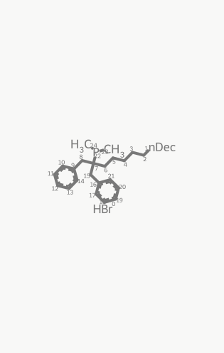 Br.CCCCCCCCCCCCCCCC(Cc1ccccc1)(Cc1ccccc1)P(C)C